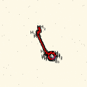 CO[C@H]1C[C@@H]2CC[C@@H](C)[C@@](O)(O2)C(=O)C(=O)N2CCCC[C@H]2C(=O)O[C@H]([C@H](C)C[C@@H]2CC[C@@H](OC(=O)NCCOCCOCCOCCOCCOCCOCCOCCOCCC(=O)NCCS(=O)(=O)c3ccc(C(=O)N4CCOc5ccc(-c6ccc(N)nc6)cc5C4)c(C)c3)[C@H](OC)C2)C[C@@H](O)[C@H](C)/C=C(\C)[C@@H](O)[C@@H](OC)C(=O)[C@H](C)C[C@H](C)/C=C/C=C/C=C/1C